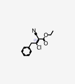 CCOC(=O)/C(C#N)=C(\Cl)Cc1ccccc1